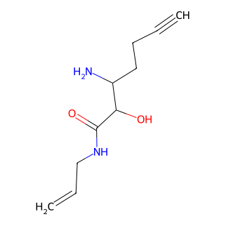 C#CCCC(N)C(O)C(=O)NCC=C